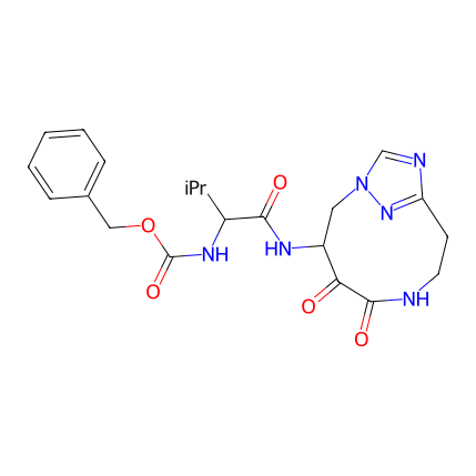 CC(C)C(NC(=O)OCc1ccccc1)C(=O)NC1Cn2cnc(n2)CCNC(=O)C1=O